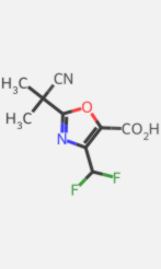 CC(C)(C#N)c1nc(C(F)F)c(C(=O)O)o1